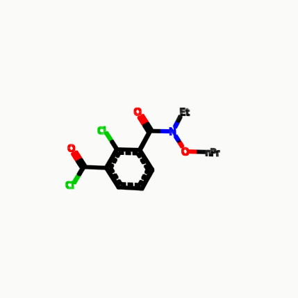 CCCON(CC)C(=O)c1cccc(C(=O)Cl)c1Cl